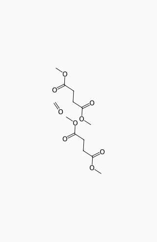 C=O.COC(=O)CCC(=O)OC.COC(=O)CCC(=O)OC